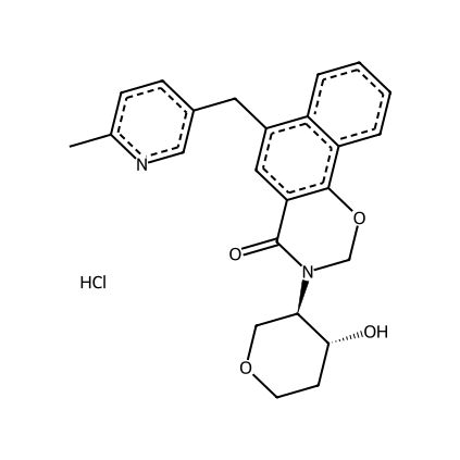 Cc1ccc(Cc2cc3c(c4ccccc24)OCN([C@@H]2COCC[C@H]2O)C3=O)cn1.Cl